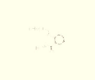 CCCCCCCCOc1ccccc1C(=O)OO